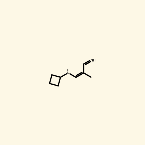 C/C(C=N)=C/NC1CCC1